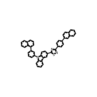 c1cc(-c2cccc3ccccc23)cc(-n2c3ccccc3c3cc(-c4nc(-c5ccc(-c6ccc7ccccc7c6)cc5)ns4)ccc32)c1